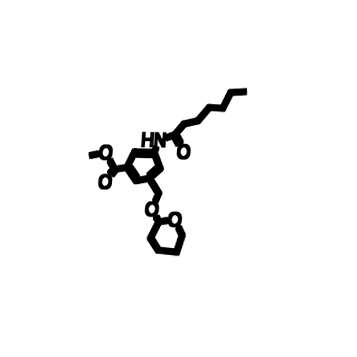 CCCCCCC(=O)Nc1cc(COC2CCCCO2)cc(C(=O)OC)c1